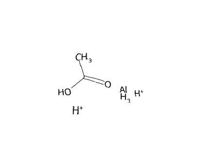 CC(=O)O.[AlH3].[H+].[H+]